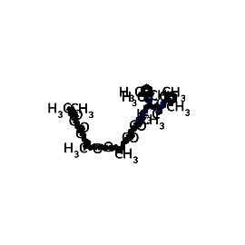 C/C=C(/C=C/C1=C(C)CCCC1(C)C)CCC(/C=C/C1=C(C)CCCC1(C)C)=C\C=C\C(C)=C\C(=O)OCCC(=O)OCCCN(C)CCOCCOCCN(C)CCCOC(=O)CCOC(=O)C=C(C)C